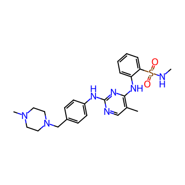 CNS(=O)(=O)c1ccccc1Nc1nc(Nc2ccc(CN3CCN(C)CC3)cc2)ncc1C